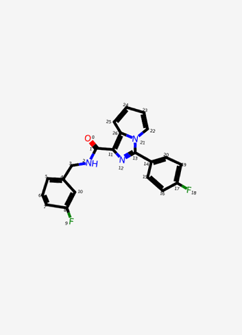 O=C(NCc1cccc(F)c1)c1nc(-c2ccc(F)cc2)n2ccccc12